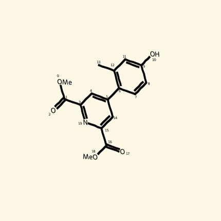 COC(=O)c1cc(-c2ccc(O)cc2C)cc(C(=O)OC)n1